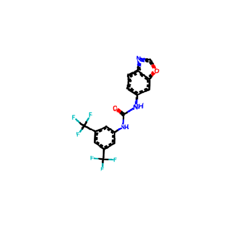 O=C(Nc1cc(C(F)(F)F)cc(C(F)(F)F)c1)Nc1ccc2ncoc2c1